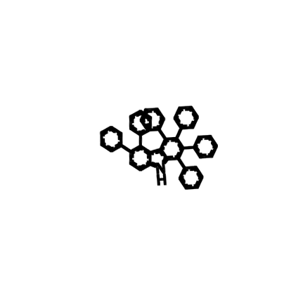 c1ccc(-c2ccc3[nH]c4c(-c5ccccc5)c(-c5ccccc5)c(-c5ccccc5)c(-c5ccccc5)c4c3c2-c2ccccc2)cc1